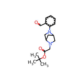 CC(C)(C)OC(=O)CN1CC2CC1CN2c1ccccc1C=O